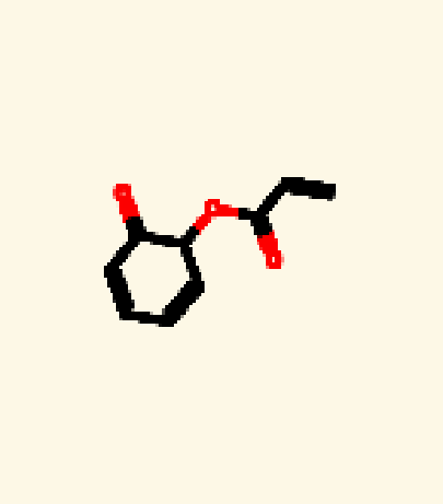 C=CC(=O)OC1C=CC=CC1=O